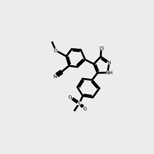 COc1ccc(-c2c(Cl)n[nH]c2-c2ccc(S(C)(=O)=O)cc2)cc1C#N